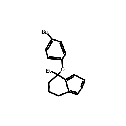 CCC(C)c1ccc(OC2(CC)CCCc3ccccc32)cc1